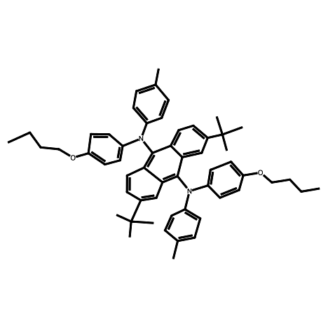 CCCCOc1ccc(N(c2ccc(C)cc2)c2c3ccc(C(C)(C)C)cc3c(N(c3ccc(C)cc3)c3ccc(OCCCC)cc3)c3cc(C(C)(C)C)ccc23)cc1